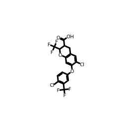 O=C(O)C1Cc2cc(Cl)c(Oc3ccc(Cl)c(C(F)(F)F)c3)cc2OC1C(F)(F)F